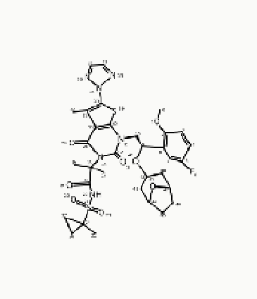 COc1ccc(F)cc1[C@H](Cn1c(=O)n(C(C)(C)C(=O)NS(=O)(=O)C2(C)CC2)c(=O)c2c(C)c(-n3nccn3)sc21)OC1CC2CCC(C1)O2